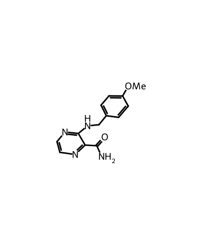 COc1ccc(CNc2nccnc2C(N)=O)cc1